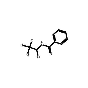 O=C(NC(O)C(Cl)(Cl)Cl)c1ccccc1